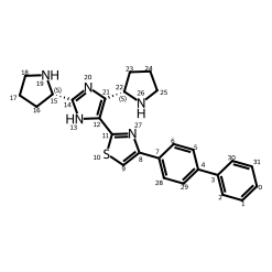 c1ccc(-c2ccc(-c3csc(-c4[nH]c([C@@H]5CCCN5)nc4[C@@H]4CCCN4)n3)cc2)cc1